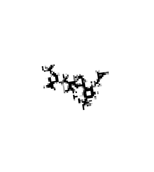 CC(=O)N1C[C@@H](NC(=O)c2c(C)[nH]c3c(-c4cc(C(F)(F)F)ccc4OCC4CC4)ncnc23)C2(CC2)C1